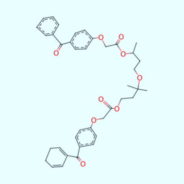 CC(CCOC(C)(C)CCOC(=O)COc1ccc(C(=O)C2=CCCC=C2)cc1)OC(=O)COc1ccc(C(=O)c2ccccc2)cc1